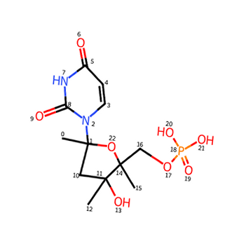 CC1(n2ccc(=O)[nH]c2=O)CC(C)(O)C(C)(COP(=O)(O)O)O1